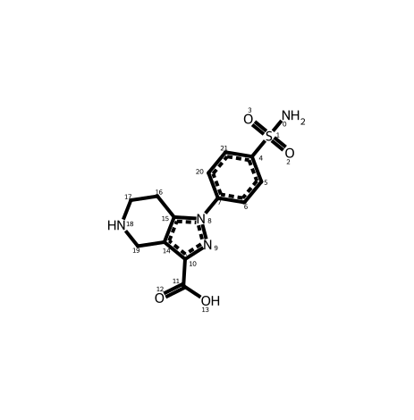 NS(=O)(=O)c1ccc(-n2nc(C(=O)O)c3c2CCNC3)cc1